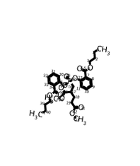 CCCCOC(=O)c1ccccc1OP(=O)(CC(CCC(=O)OC)C(=O)OC)Oc1ccccc1C(=O)OCCCC